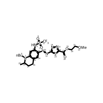 CCCCN1c2cc(NS(=O)(=O)C(F)(F)F)c(N=Nc3nnc(C(=O)OCCOC)s3)cc2CCC1C